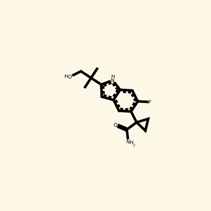 CC(C)(CO)c1cc2cc(C3(C(N)=O)CC3)c(F)cc2[nH]1